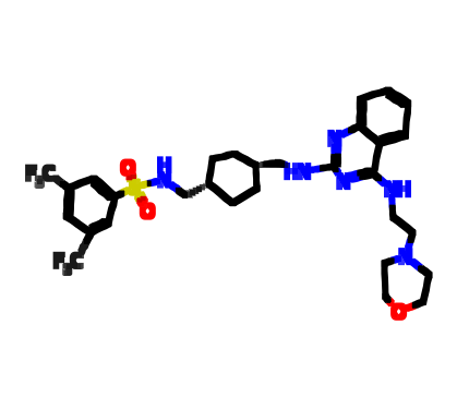 O=S(=O)(NC[C@H]1CC[C@H](CNc2nc(NCCN3CCOCC3)c3ccccc3n2)CC1)c1cc(C(F)(F)F)cc(C(F)(F)F)c1